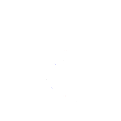 CS(=O)(=O)C[C@@H]1NC(=O)[C@@H]1NC(=O)OCc1ccccc1